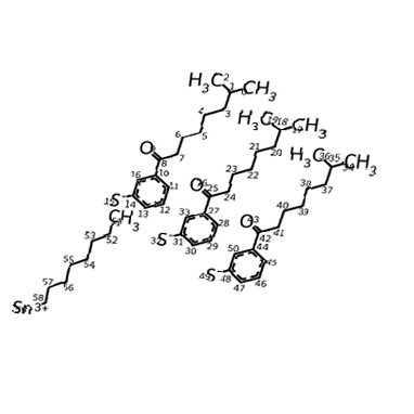 CC(C)CCCCCC(=O)c1cccc([S-])c1.CC(C)CCCCCC(=O)c1cccc([S-])c1.CC(C)CCCCCC(=O)c1cccc([S-])c1.CCCCCCC[CH2][Sn+3]